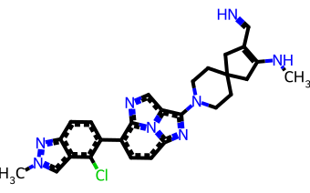 CNC1=C(C=N)CC2(CCN(c3nc4ccc(-c5ccc6nn(C)cc6c5Cl)c5ncc3n45)CC2)C1